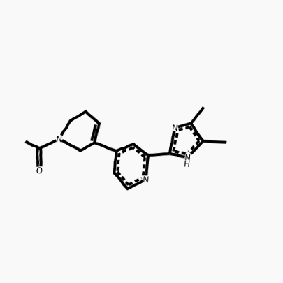 CC(=O)N1CCC=C(c2ccnc(-c3nc(C)c(C)[nH]3)c2)C1